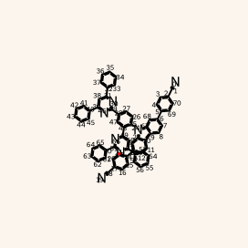 N#Cc1ccc(-c2ccc3c4ccc(-c5ccc(C#N)cc5)cc4n(-c4ccc(-c5nc(-c6ccccc6)cc(-c6ccccc6)n5)cc4-c4cc(-c5ccccc5)nc(-c5ccccc5)n4)c3c2)cc1